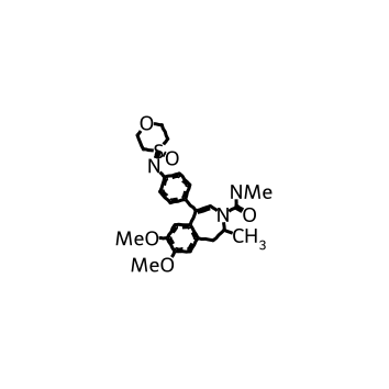 CNC(=O)N1C=C(c2ccc(N=S3(=O)CCOCC3)cc2)c2cc(OC)c(OC)cc2CC1C